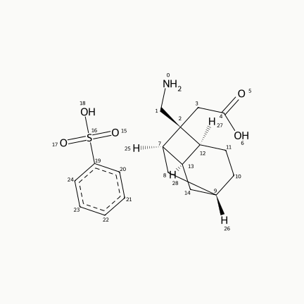 NC[C@]1(CC(=O)O)[C@@H]2C[C@@H]3CC[C@H]1[C@H]2C3.O=S(=O)(O)c1ccccc1